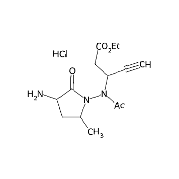 C#CC(CC(=O)OCC)N(C(C)=O)N1C(=O)C(N)CC1C.Cl